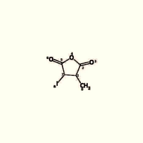 CC1C(=O)OC(=O)C1I